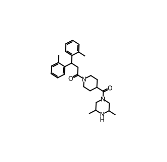 Cc1ccccc1C(CC(=O)N1CCC(C(=O)N2CC(C)NC(C)C2)CC1)c1ccccc1C